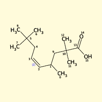 CC(/C=C\CC(C)(C)C)CC(C)(C)C(=O)O